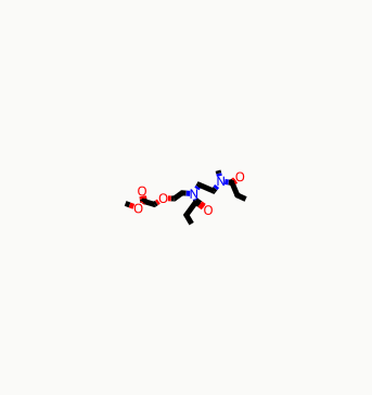 CCC(=O)N(C)CCN(CCOCC(=O)OC)C(=O)CC